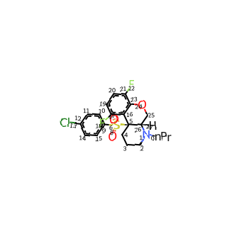 CCCN1CCC[C@]2(S(=O)(=O)c3ccc(Cl)cc3)c3c(F)ccc(F)c3OC[C@H]12